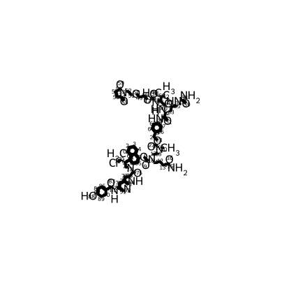 Cc1cccc2c(OC(=O)N(CCCC(N)=O)CCN(C)C(=O)OCc3ccc(NC(=O)[C@H](CCCNC(N)=O)NC(=O)[C@@H](NC(=O)OCCOCCN4C(=O)C=CC4=O)C(C)C)cc3)cc3c(c12)[C@H](CCl)CN3C(=O)c1cc2cc(NC(=O)C3=CC=C(O)CC3)cnc2[nH]1